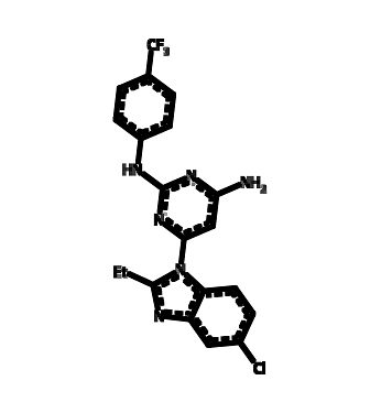 CCc1nc2cc(Cl)ccc2n1-c1cc(N)nc(Nc2ccc(C(F)(F)F)cc2)n1